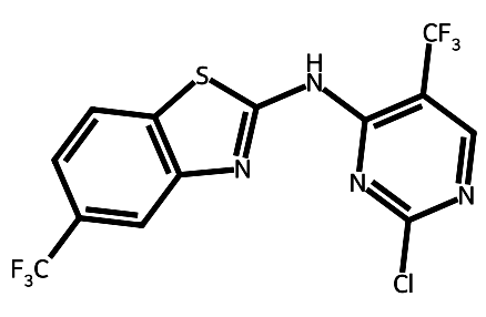 FC(F)(F)c1ccc2sc(Nc3nc(Cl)ncc3C(F)(F)F)nc2c1